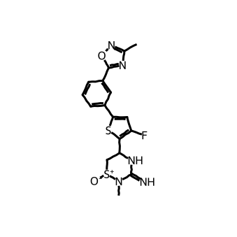 Cc1noc(-c2cccc(-c3cc(F)c(C4C[S+]([O-])N(C)C(=N)N4)s3)c2)n1